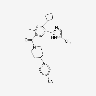 Cc1cc(C2CCC2)c(-c2ncc(C(F)(F)F)[nH]2)cc1C(=O)N1CCC(c2ccc(C#N)cc2)CC1